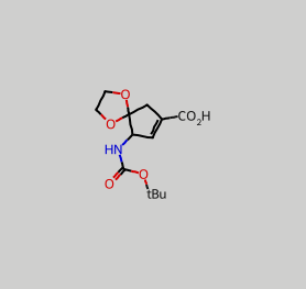 CC(C)(C)OC(=O)NC1C=C(C(=O)O)CC12OCCO2